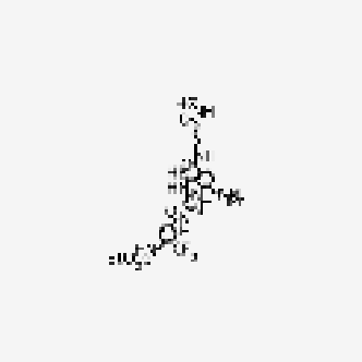 B=C(Nc1cc(NC(=O)c2ccc(CNC(=O)OCC)c(C(F)(F)F)c2)nc(C)n1)c1cc(CNC(C)C)ccc1C(=O)NCCCCC(=O)NO